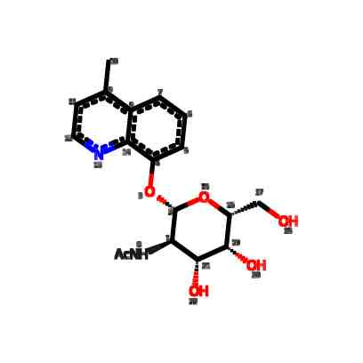 CC(=O)N[C@H]1[C@H](Oc2cccc3c(C)ccnc23)O[C@H](CO)[C@H](O)[C@@H]1O